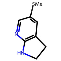 CSc1cnc2c(c1)CCN2